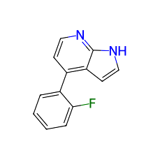 Fc1ccccc1-c1ccnc2[nH]ccc12